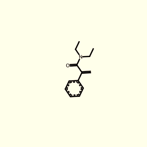 C=C(C(=O)N(CC)CC)c1ccccc1